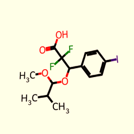 COC(OC(c1ccc(I)cc1)C(F)(F)C(=O)O)C(C)C